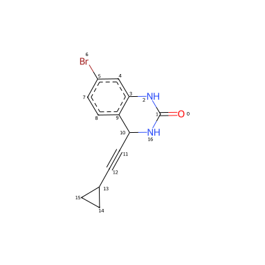 O=C1Nc2cc(Br)ccc2C(C#CC2CC2)N1